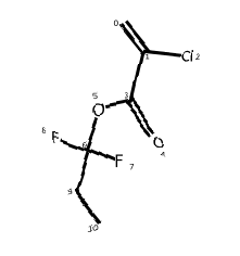 C=C(Cl)C(=O)OC(F)(F)CC